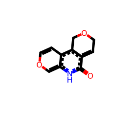 O=c1[nH]c2c(c3c1=CCOC3)C=COC=2